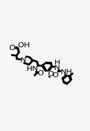 COc1cc(C(CC2CCN(CC(C)CC(=O)O)CC2)NC(C)=O)ccc1NC(=O)Nc1ccccc1C